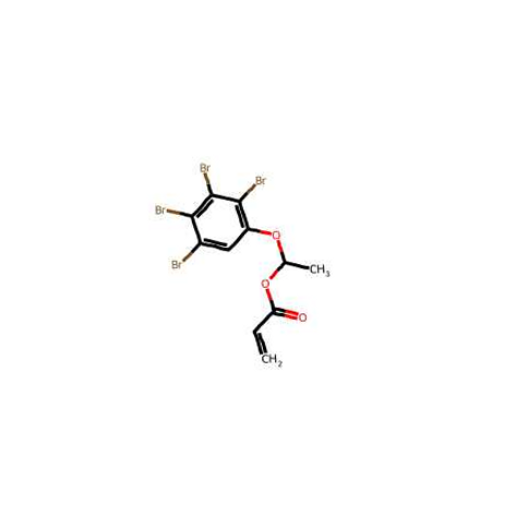 C=CC(=O)OC(C)Oc1cc(Br)c(Br)c(Br)c1Br